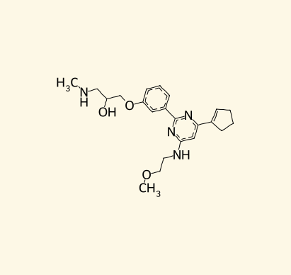 CNCC(O)COc1cccc(-c2nc(NCCOC)cc(C3=CCCC3)n2)c1